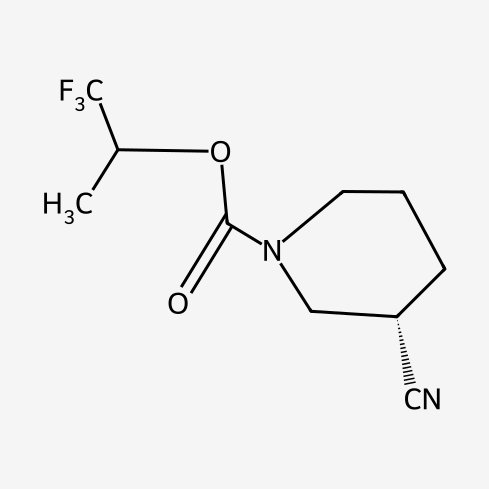 CC(OC(=O)N1CCC[C@H](C#N)C1)C(F)(F)F